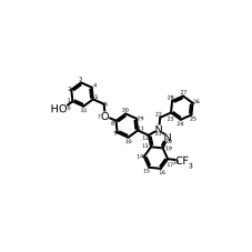 Oc1cccc(COc2ccc(-c3c4cccc(C(F)(F)F)c4nn3Cc3ccccc3)cc2)c1